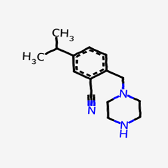 CC(C)c1ccc(CN2CCNCC2)c(C#N)c1